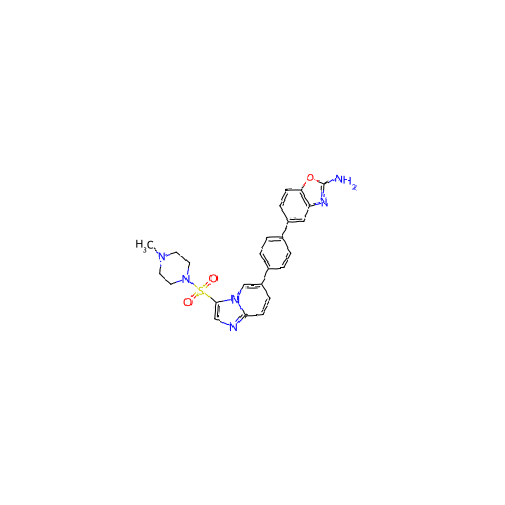 CN1CCN(S(=O)(=O)c2cnc3ccc(-c4ccc(-c5ccc6oc(N)nc6c5)cc4)cn23)CC1